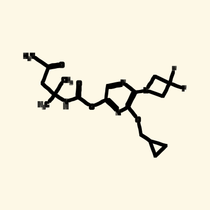 CC(C)(CC(N)=O)NC(=O)Oc1cnc(N2CC(F)(F)C2)c(OCC2CC2)n1